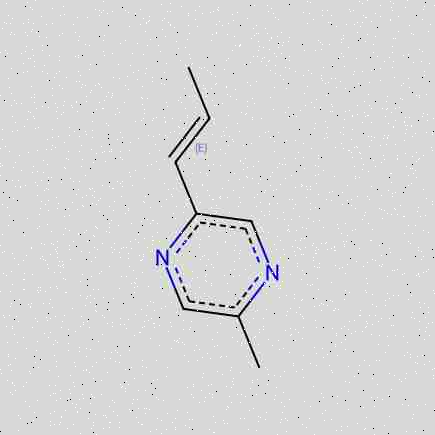 C/C=C/c1cnc(C)cn1